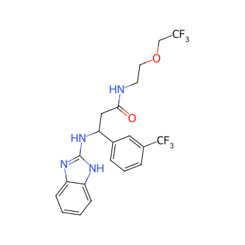 O=C(CC(Nc1nc2ccccc2[nH]1)c1cccc(C(F)(F)F)c1)NCCOCC(F)(F)F